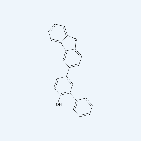 Oc1ccc(-c2ccc3sc4ccccc4c3c2)cc1-c1ccccc1